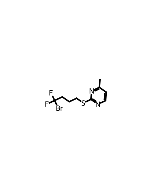 Cc1ccnc(SCCCC(F)(F)Br)n1